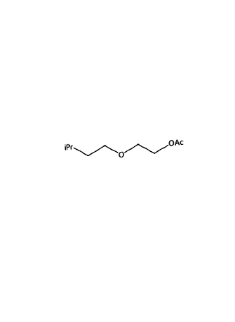 CC(=O)OCCOCCC(C)C